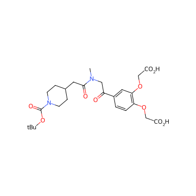 CN(CC(=O)c1ccc(OCC(=O)O)c(OCC(=O)O)c1)C(=O)CC1CCN(C(=O)OC(C)(C)C)CC1